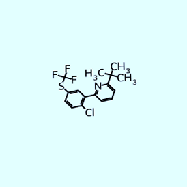 CC(C)(C)c1cccc(-c2cc(SC(F)(F)F)ccc2Cl)n1